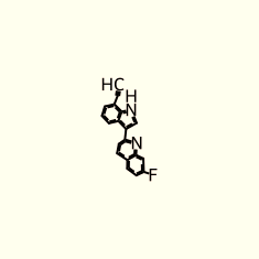 C#Cc1cccc2c(-c3ccc4ccc(F)cc4n3)c[nH]c12